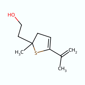 C=C(C)C1=CCC(C)(CCO)S1